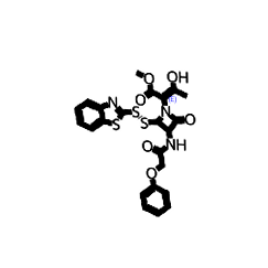 COC(=O)/C(=C(/C)O)N1C(=O)C(NC(=O)COc2ccccc2)C1SSc1nc2ccccc2s1